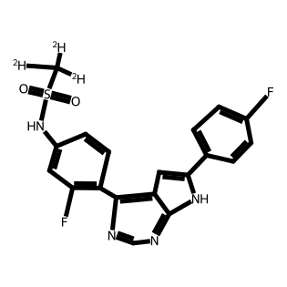 [2H]C([2H])([2H])S(=O)(=O)Nc1ccc(-c2ncnc3[nH]c(-c4ccc(F)cc4)cc23)c(F)c1